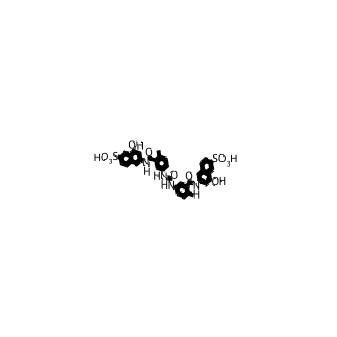 Cc1ccc(NC(=O)Nc2ccc(C)c(C(=O)Nc3cc(O)c4cc(S(=O)(=O)O)ccc4c3)c2)cc1C(=O)Nc1cc(O)c2cc(S(=O)(=O)O)ccc2c1